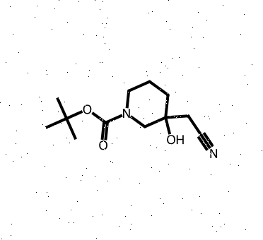 CC(C)(C)OC(=O)N1CCCC(O)(CC#N)C1